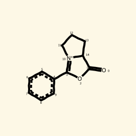 O=C1OC(c2ccccc2)=[N+]2CCCC12